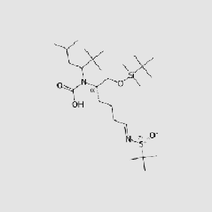 CC(C)CC(N(C(=O)O)[C@@H](CCCC=N[S@+]([O-])C(C)(C)C)CO[Si](C)(C)C(C)(C)C)C(C)(C)C